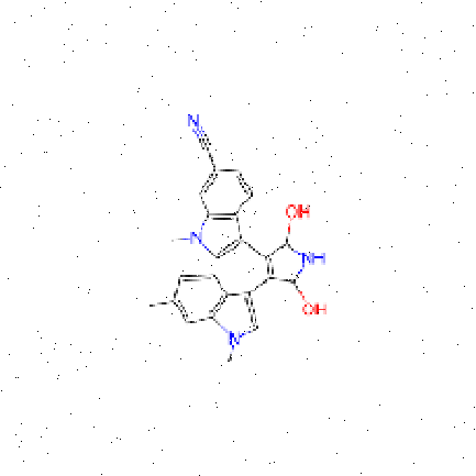 Cc1ccc2c(C3=C(c4cn(C)c5cc(C#N)ccc45)C(O)NC3O)cn(C)c2c1